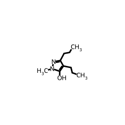 CCCc1nn(C)c(O)c1CCC